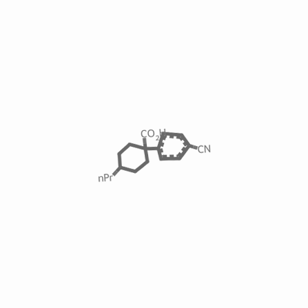 CCCC1CCC(C(=O)O)(c2ccc(C#N)cc2)CC1